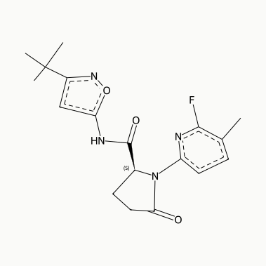 Cc1ccc(N2C(=O)CC[C@H]2C(=O)Nc2cc(C(C)(C)C)no2)nc1F